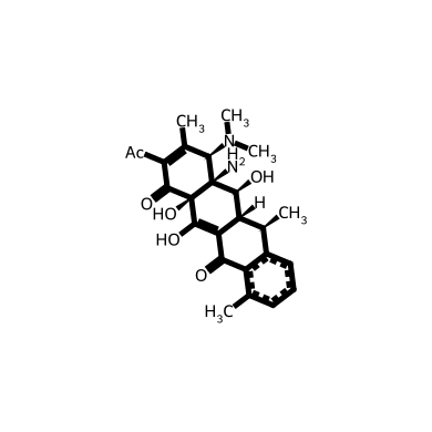 CC(=O)C1=C(C)[C@@H](N(C)C)[C@]2(N)[C@@H](O)[C@H]3C(=C(O)[C@]2(O)C1=O)C(=O)c1c(C)cccc1[C@@H]3C